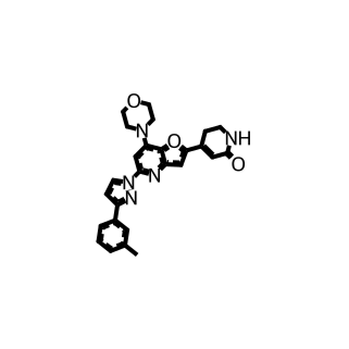 Cc1cccc(-c2ccn(-c3cc(N4CCOCC4)c4oc(C5=CC(=O)NCC5)cc4n3)n2)c1